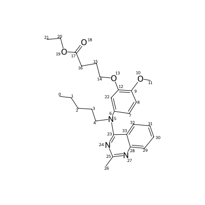 CCCCCN(c1ccc(OC)c(OCCCC(=O)OCC)c1)c1nc(C)nc2ccccc12